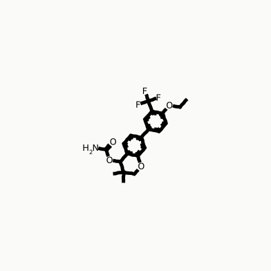 CCOc1ccc(-c2ccc3c(c2)OCC(C)(C)C3OC(N)=O)cc1C(F)(F)F